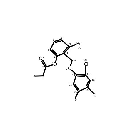 CCC(=O)Oc1cccc(Br)c1COc1cc(C)c(C)cc1Cl